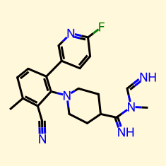 Cc1ccc(-c2ccc(F)nc2)c(N2CCC(C(=N)N(C)C=N)CC2)c1C#N